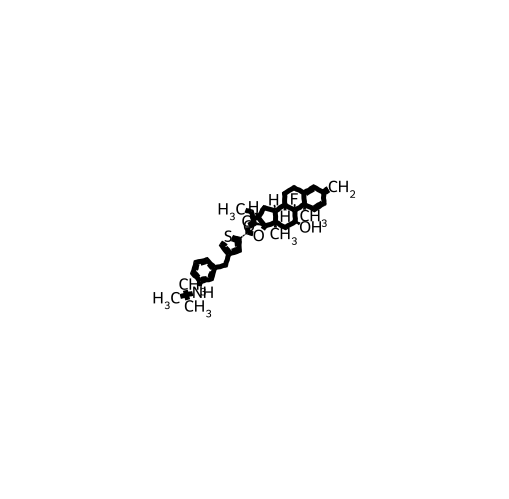 C=C1C=C[C@@]2(C)C(=C1)CC[C@H]1[C@@H]3C[C@H]4O[C@@H](c5cc(Cc6cccc(NC(C)(C)C)c6)cs5)O[C@@]4(C(=O)CC)[C@@]3(C)C[C@H](O)[C@@]12F